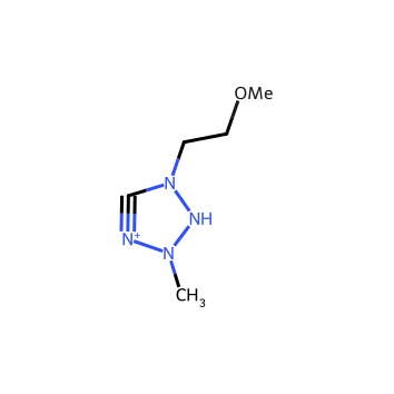 COCCN1C#[N+]N(C)N1